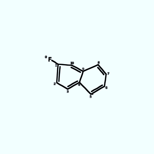 Fc1ccc2[c]cccc2c1